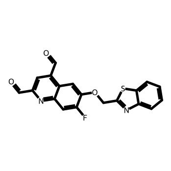 O=Cc1cc(C=O)c2cc(OCc3nc4ccccc4s3)c(F)cc2n1